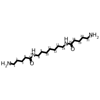 NCCCCC(=O)NCCCCCCCNC(=O)CCCCN